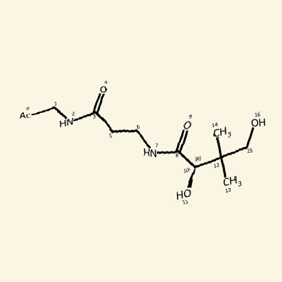 CC(=O)CNC(=O)CCNC(=O)[C@H](O)C(C)(C)CO